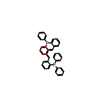 C(=C1CCCCC1=Cc1ccccc1P(c1ccccc1)c1ccccc1)c1ccccc1P(c1ccccc1)c1ccccc1